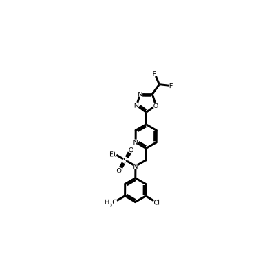 CCS(=O)(=O)N(Cc1ccc(-c2nnc(C(F)F)o2)cn1)c1cc(C)cc(Cl)c1